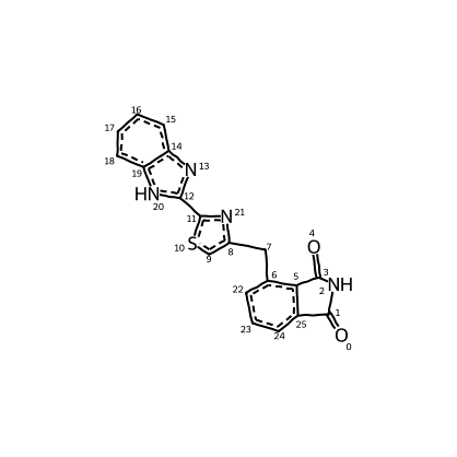 O=C1NC(=O)c2c(Cc3csc(-c4nc5ccccc5[nH]4)n3)cccc21